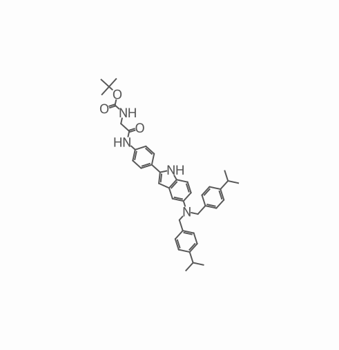 CC(C)c1ccc(CN(Cc2ccc(C(C)C)cc2)c2ccc3[nH]c(-c4ccc(NC(=O)CNC(=O)OC(C)(C)C)cc4)cc3c2)cc1